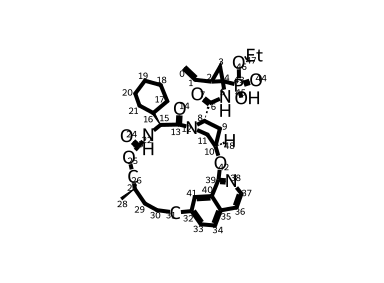 C=CC1CC1(NC(=O)[C@@H]1C[C@@H]2CN1C(=O)[C@H](C1CCCCC1)NC(=O)OC[C@H](C)CCCc1ccc3ccnc(c3c1)O2)P(=O)(O)OCC